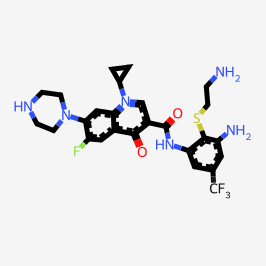 NCCSc1c(N)cc(C(F)(F)F)cc1NC(=O)c1cn(C2CC2)c2cc(N3CCNCC3)c(F)cc2c1=O